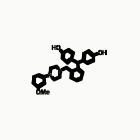 COc1cccc(N2CCN(Cc3ccccc3C(c3ccc(O)cc3)c3ccc(O)cc3)CC2)c1